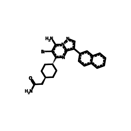 NC(=O)C[C@H]1CC[C@H](c2nc3c(-c4ccc5ccccc5c4)cnn3c(N)c2Br)CC1